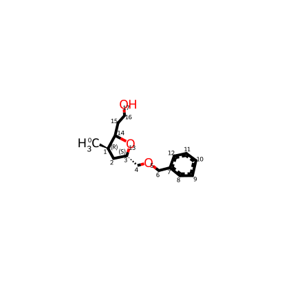 C[C@@H]1C[C@@H](COCc2ccccc2)OC1CCO